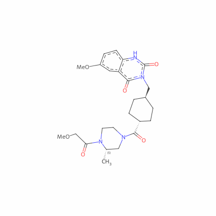 COCC(=O)N1CCN(C(=O)[C@H]2CC[C@H](Cn3c(=O)[nH]c4ccc(OC)cc4c3=O)CC2)C[C@@H]1C